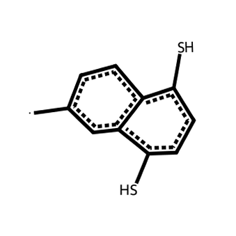 [CH2]c1ccc2c(S)ccc(S)c2c1